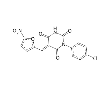 O=C1NC(=O)N(c2ccc(Cl)cc2)C(=O)C1=Cc1ccc([N+](=O)[O-])o1